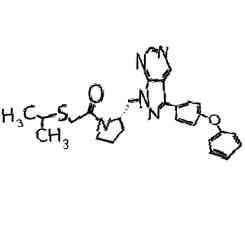 CC(C)SCC(=O)N1CCC[C@H]1Cn1nc(-c2ccc(Oc3ccccc3)cc2)c2cncnc21